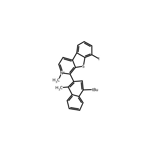 Cc1c(-c2c3sc4c(I)cccc4c3cc[n+]2C)cc(C(C)(C)C)c2ccccc12